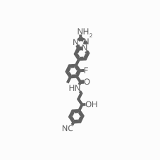 Cc1ccc(-c2ccn3nc(N)nc3c2)c(F)c1C(=O)NCCC(O)c1ccc(C#N)cc1